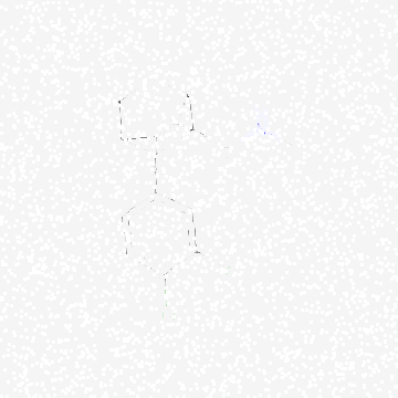 CNCC1=C(c2ccc(Cl)c(Cl)c2)C2CCC1CC2